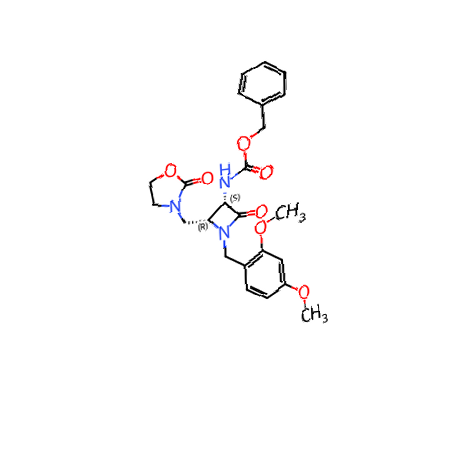 COc1ccc(CN2C(=O)[C@@H](NC(=O)OCc3ccccc3)[C@H]2CN2CCOC2=O)c(OC)c1